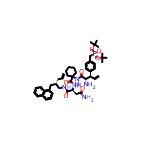 C=CC[C@H](CNC(=O)[C@H](CC(N)=O)NC(=O)C1(NC(=O)[C@@H](N)[C@H](C=C)c2ccc(CP(=O)(OC(C)(C)C)OC(C)(C)C)cc2)CCCCC1)Cc1cccc2ccccc12